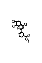 CCOC(=O)C1CCC=C(c2cc(Cl)c3ccc(Cl)c(Cl)c3n2)C1